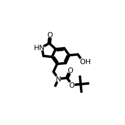 CN(Cc1cc(CO)cc2c1CNC2=O)C(=O)OC(C)(C)C